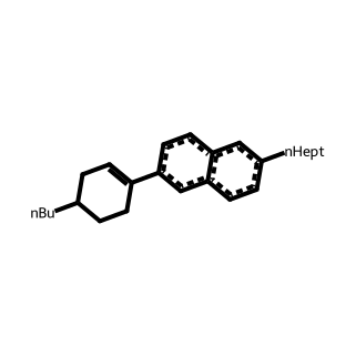 CCCCCCCc1ccc2cc(C3=CCC(CCCC)CC3)ccc2c1